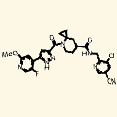 COc1cc(-c2cc(C(=O)N3CC[C@H](C(=O)NCc4ncc(C#N)cc4Cl)CC34CC4)n[nH]2)c(F)cn1